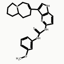 COc1cccc(NC(=S)Nc2ccc3[nH]cc(C4=CCN5CCCCC5CC4)c3n2)c1